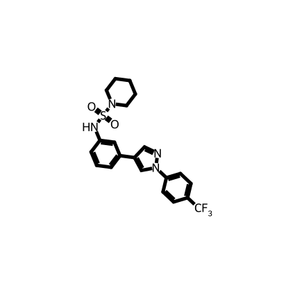 O=S(=O)(Nc1cccc(-c2cnn(-c3ccc(C(F)(F)F)cc3)c2)c1)N1CCCCC1